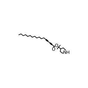 CCCCCCCCCCCCC#CC#CC(=O)OC(C)(C)C1CCNCC1